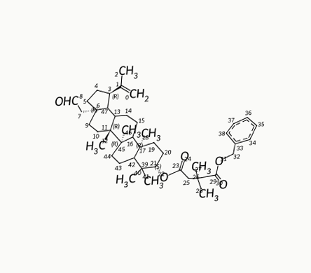 C=C(C)[C@@H]1CC[C@]2(CC=O)CC[C@]3(C)C(CCC4[C@@]5(C)CC[C@H](OC(=O)CC(C)(C)C(=O)OCc6ccccc6)C(C)(C)C5CC[C@]43C)C12